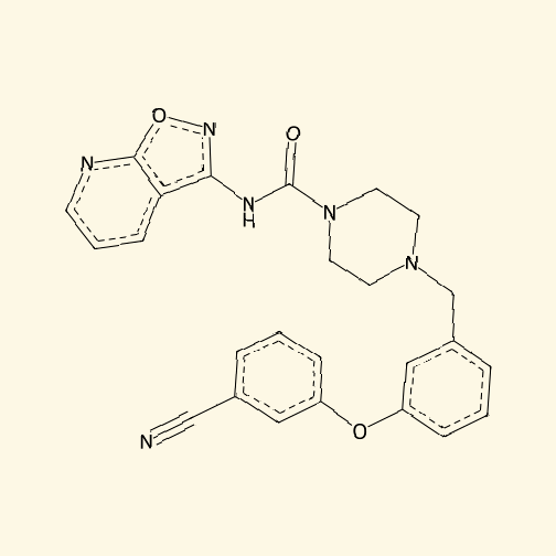 N#Cc1cccc(Oc2cccc(CN3CCN(C(=O)Nc4noc5ncccc45)CC3)c2)c1